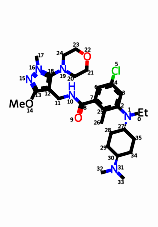 CCN(c1cc(Cl)cc(C(=O)NCc2c(OC)nn(C)c2N2CCOCC2)c1C)[C@H]1CC[C@H](N(C)C)CC1